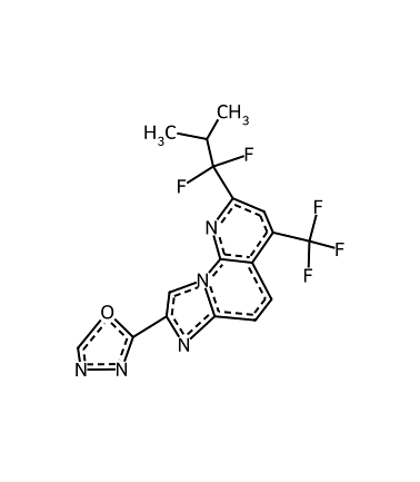 CC(C)C(F)(F)c1cc(C(F)(F)F)c2ccc3nc(-c4nnco4)cn3c2n1